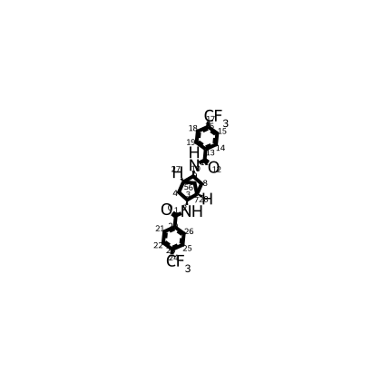 O=C(N[C@H]1C[C@H]2C[C@@H]1C[C@@H]2NC(=O)c1ccc(C(F)(F)F)cc1)c1ccc(C(F)(F)F)cc1